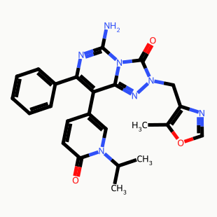 Cc1ocnc1Cn1nc2c(-c3ccc(=O)n(C(C)C)c3)c(-c3ccccc3)nc(N)n2c1=O